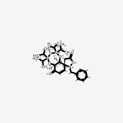 CC(C)[Si]1(C(C)C)O[C@@H]2C(=O)C=C[C@]3(CC(=O)ON3Cc3ccccc3)[C@@H]2O[Si](C(C)C)(C(C)C)O1